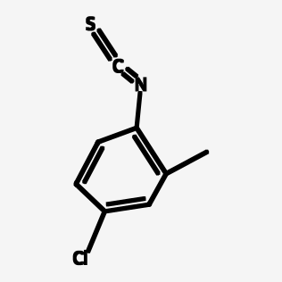 Cc1cc(Cl)ccc1N=C=S